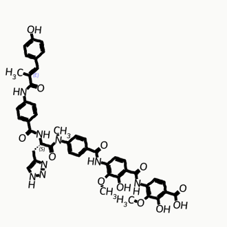 COc1c(NC(=O)c2ccc(NC(=O)c3ccc(N(C)C(=O)[C@H](Cc4c[nH]nn4)NC(=O)c4ccc(NC(=O)/C(C)=C/c5ccc(O)cc5)cc4)cc3)c(OC)c2O)ccc(C(=O)O)c1O